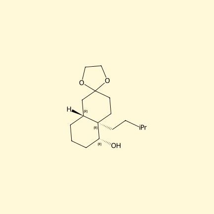 CC(C)CC[C@@]12CCC3(C[C@H]1CCC[C@H]2O)OCCO3